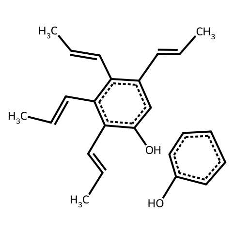 CC=Cc1cc(O)c(C=CC)c(C=CC)c1C=CC.Oc1ccccc1